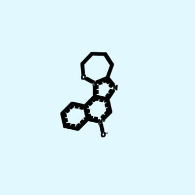 [O-][n+]1cc2nc3n(c2c2ccccc21)OCCCC3